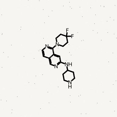 FC1(F)CCN(c2nccc3cnc(NC4CCNCC4)cc23)CC1